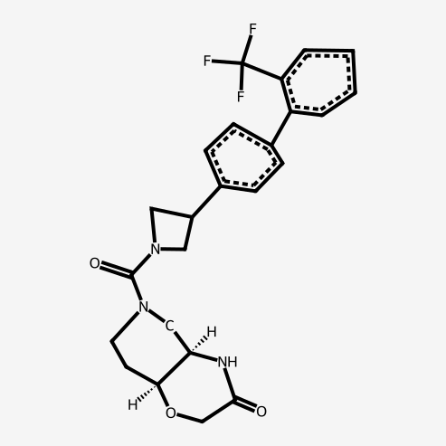 O=C1CO[C@H]2CCN(C(=O)N3CC(c4ccc(-c5ccccc5C(F)(F)F)cc4)C3)C[C@H]2N1